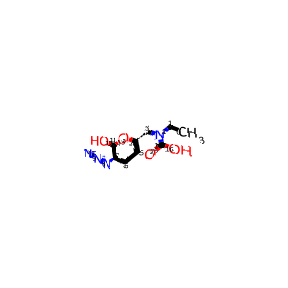 CCN(C[C@@H]1CC[C@@H](N=[N+]=[N-])C(O)O1)C(=O)O